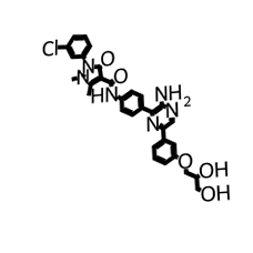 Cc1c(C(=O)Nc2ccc(-c3nc(-c4cccc(OCC(O)CO)c4)cnc3N)cc2)c(=O)n(-c2cccc(Cl)c2)n1C